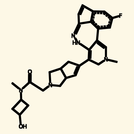 CN1C=C2C(=C(C3=CC4CN(CC(=O)N(C)C5CC(O)C5)CC4C3)C1)NN=C1C=Cc3cc(F)cc2c31